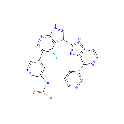 CCCC(=O)Nc1cncc(-c2cnc3[nH]nc(-c4nc5c(-c6cccnc6)nccc5[nH]4)c3c2F)c1